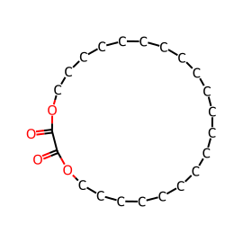 O=C1OCCCCCCCCCCCCCCCCCCCCOC1=O